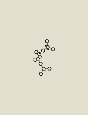 C1=Cc2c(n(-c3ccc(-c4cc(-c5ccccc5)nc(-c5ccccc5)c4)cc3)c3ccc4c(c5ccccc5n4-c4ccc(-c5nc(-c6ccccc6)nc(-c6ccccc6)n5)cc4)c23)CC1